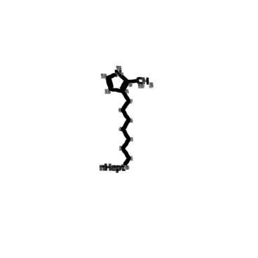 CCCCCCCCCCCCCCC1=C(C)[N]C=C1